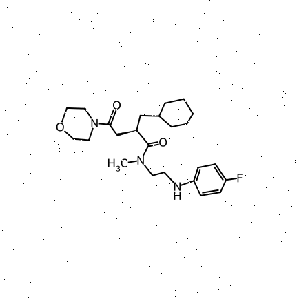 CN(CCNc1ccc(F)cc1)C(=O)[C@@H](CC(=O)N1CCOCC1)CC1CCCCC1